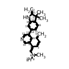 C=C/C=C\C(=C/N(C)C(C)C)c1cncc(-c2ccc3c(c2)NC(=C)C3(C)C)c1